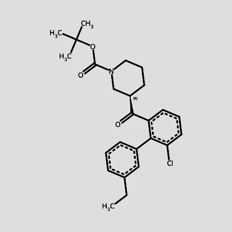 CCc1cccc(-c2c(Cl)cccc2C(=O)[C@@H]2CCCN(C(=O)OC(C)(C)C)C2)c1